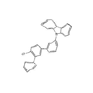 Clc1ccc(-c2cccc(-n3c4ccccc4c4ccccc43)c2)cc1-c1ccccc1